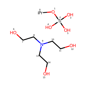 CC(C)[O][Ti]([OH])([OH])[OH].OCCN(CCO)CCO